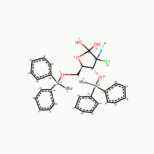 CC(C)(C)[Si](OC[C@H]1OC(O)(O)[C@](F)(Cl)[C@@H]1O[Si](c1ccccc1)(c1ccccc1)C(C)(C)C)(c1ccccc1)c1ccccc1